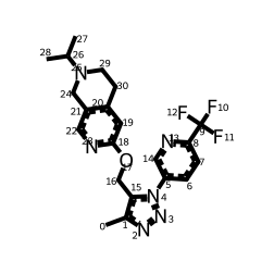 Cc1nnn(-c2ccc(C(F)(F)F)nc2)c1COc1cc2c(cn1)CN(C(C)C)CC2